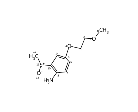 COCCOc1ccc(N)c([S+](C)[O-])c1